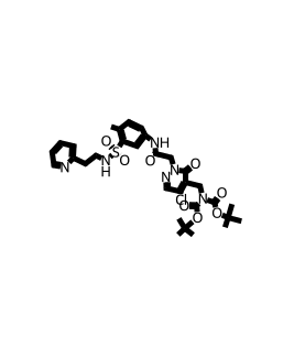 Cc1ccc(NC(=O)Cn2ncc(Cl)c(CN(C(=O)OC(C)(C)C)C(=O)OC(C)(C)C)c2=O)cc1S(=O)(=O)NCCc1ccccn1